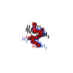 C/C=C/[C@@H]1O[C@H]([C@@H](/C=C/C=C(\C)C[C@@H](C)/C=C(C)\C=C\[C@H]2CC=CC(=O)O2)NC(=O)OCc2ccc(NC(=O)[C@H](CCCNC(N)=O)NC(=O)[C@@H](NC(=O)OC[C@@H]3[C@@H]4CCc5nnn(CCC[C@H](NC(=O)CC[C@H](NC(=O)c6ccc(NCc7cnc8nc(N)nc(O)c8n7)cc6)C(=O)O)C(=O)N[C@H](CCCCN)C(=O)O)c5CC[C@@H]43)C(C)C)cc2)C[C@@H](O)[C@@H]1C